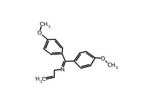 C=CCN=C(c1ccc(OC)cc1)c1ccc(OC)cc1